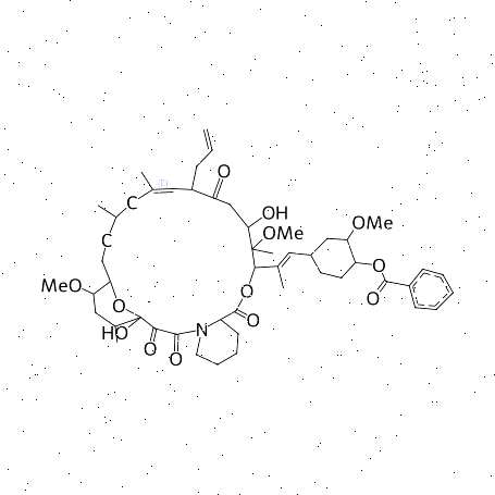 C=CCC1/C=C(\C)CC(C)CCC2OC(O)(C(=O)C(=O)N3CCCCC3C(=O)OC(C(C)=CC3CCC(OC(=O)c4ccccc4)C(OC)C3)C(C)(OC)C(O)CC1=O)C(C)CC2OC